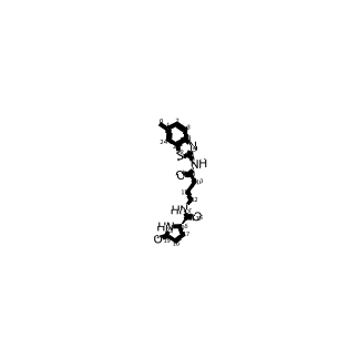 Cc1ccc2nc(NC(=O)CCCNC(=O)[C@H]3CCC(=O)N3)sc2c1